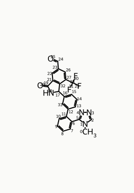 Cn1cnnc1-c1ccccc1-c1cccc(C2NC(=O)c3cc(C=O)cc(C(F)(F)F)c32)c1